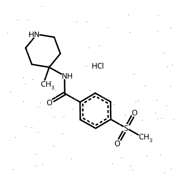 CC1(NC(=O)c2ccc(S(C)(=O)=O)cc2)CCNCC1.Cl